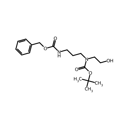 CC(C)(C)OC(=O)N(CCO)CCCNC(=O)OCc1ccccc1